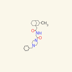 CC1CC2CCCC(CC(=O)NCC(=O)N3CCN(Cc4ccccc4)CC3)(C1)C2